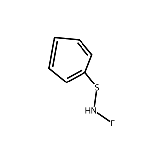 FNSc1ccccc1